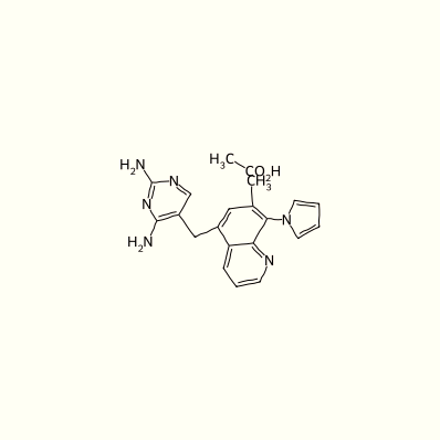 CC(=O)O.Cc1cc(Cc2cnc(N)nc2N)c2cccnc2c1-n1cccc1